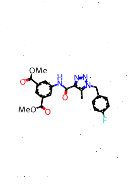 COC(=O)c1cc(NC(=O)c2nnn(Cc3ccc(F)cc3)c2C)cc(C(=O)OC)c1